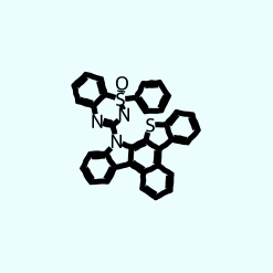 O=S1(c2ccccc2)=NC(n2c3ccccc3c3c4ccccc4c4c5ccccc5sc4c32)=Nc2ccccc21